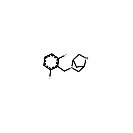 Clc1cccc(Cl)c1CN1CC2CC1CN2